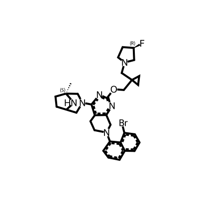 C[C@]12CCC(CN(c3nc(OCC4(CN5CC[C@@H](F)C5)CC4)nc4c3CCN(c3cccc5cccc(Br)c35)C4)C1)N2